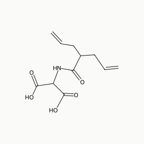 C=CCC(CC=C)C(=O)NC(C(=O)O)C(=O)O